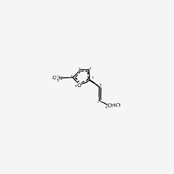 O=CC=Cc1ccc([N+](=O)[O-])o1